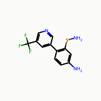 NSc1cc(N)ccc1-c1cncc(C(F)(F)F)c1